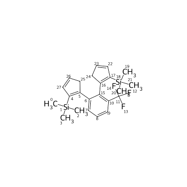 C[Si](C)(C)C1=C(c2cc[c]c(C(F)(F)F)c2C2=C([Si](C)(C)C)C=CC2)CC=C1